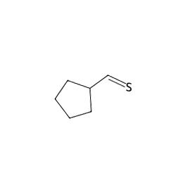 S=CC1CCCC1